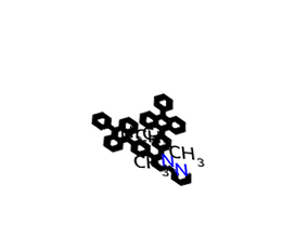 Cc1cc(-c2c3ccccc3c(-c3ccccc3)c3ccccc23)c(C)cc1-c1ccc(-c2ccccn2)nc1-c1cc(C)c(-c2c3ccccc3c(-c3ccccc3)c3ccccc23)cc1C